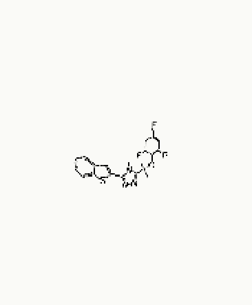 Cn1c(-c2cc3ccccc3s2)nnc1C(C)(C)Oc1c(F)cc(F)cc1F